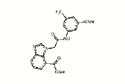 COC(=O)c1cccc2ncn(CC(=O)Nc3cc(OC)cc(C(F)(F)F)c3)c12